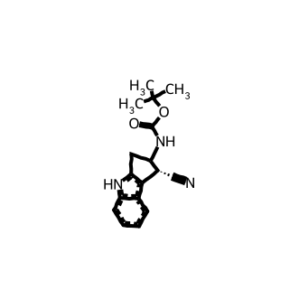 CC(C)(C)OC(=O)NC1Cc2[nH]c3ccccc3c2[C@H]1C#N